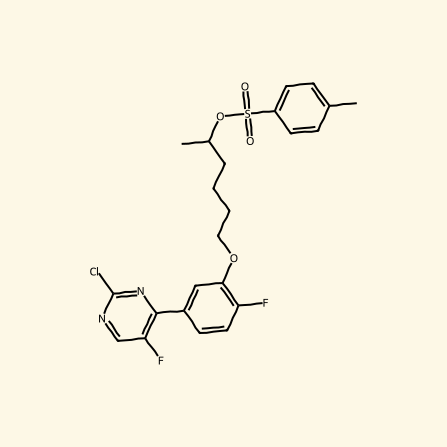 Cc1ccc(S(=O)(=O)OC(C)CCCCOc2cc(-c3nc(Cl)ncc3F)ccc2F)cc1